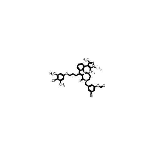 Cc1cc(OCCCc2c3n(c4c(-c5c(C)nn(C)c5C)cccc24)CCCN(Cc2cc(Br)cc(OC=O)c2)C3=O)cc(C)c1Cl